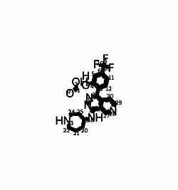 O=CO.Oc1cc(C(F)(F)F)ccc1-c1nnc(NC2CCCNCC2)c2cnccc12